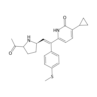 CSc1ccc(/C(=C\[C@H]2CCC(C(C)=O)N2)c2ccc(C3CC3)c(=O)[nH]2)cc1